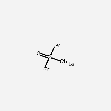 CC(C)P(=O)(O)C(C)C.[La]